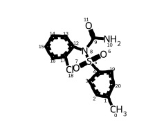 Cc1ccc(S(=O)(=O)N(C(N)=O)c2ccccc2Cl)cc1